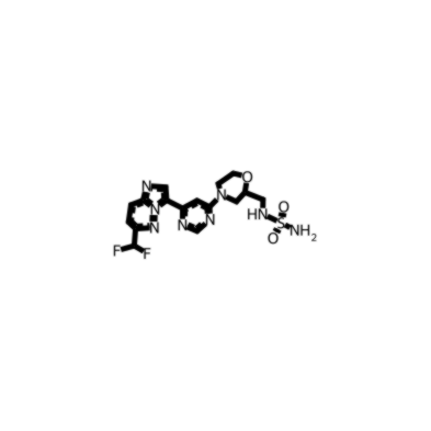 NS(=O)(=O)NCC1CN(c2cc(-c3cnc4ccc(C(F)F)nn34)ncn2)CCO1